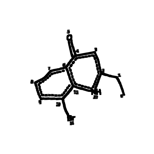 CCc1cc(=O)c2cccc(Br)c2[nH]1